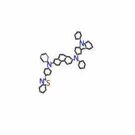 C1=CCC(N(c2ccc(-c3nc4ccccc4s3)cc2)c2ccc3c(ccc4cc(N(c5ccccc5)c5ccc6c(c5)c5ccccc5n6-c5ccccc5)ccc43)c2)C=C1